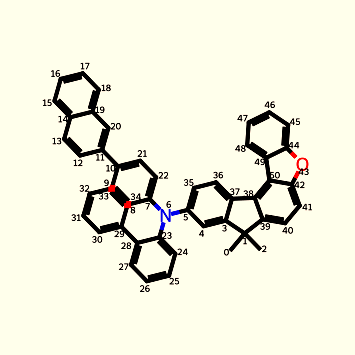 CC1(C)c2cc(N(c3ccc(-c4ccc5ccccc5c4)cc3)c3ccccc3-c3ccccc3)ccc2-c2c1ccc1oc3ccccc3c21